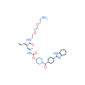 C=C/C=C(\C=C(/C)NC(=O)OC1CCN(C(=O)c2ccc(-c3nc4ccccc4[nH]3)cc2)CC1)C(=O)NCCOCCOCCN